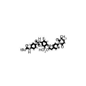 CN1CCC(=O)N(c2ccc(C[C@H](Nc3cc(F)c(NS(=O)(=O)c4ccc(NC(=O)C(C)(C)C)cc4)cc3F)C(=O)O)cn2)C1=O